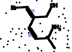 CC/C=C(\C=C/C(C)N)CO